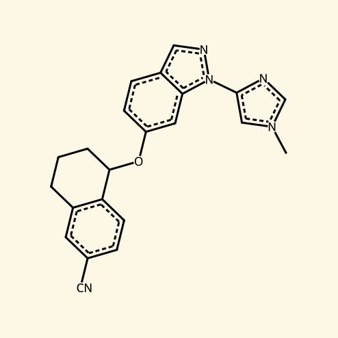 Cn1cnc(-n2ncc3ccc(OC4CCCc5cc(C#N)ccc54)cc32)c1